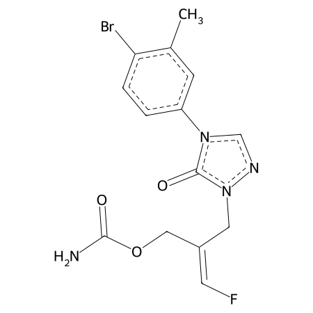 Cc1cc(-n2cnn(C/C(=C\F)COC(N)=O)c2=O)ccc1Br